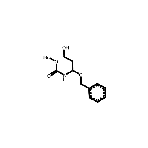 CC(C)(C)OC(=O)NC(CCO)OCc1ccccc1